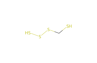 SCSSS